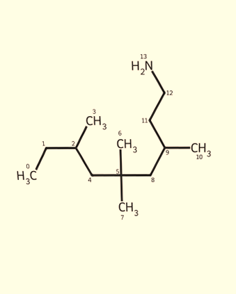 CCC(C)CC(C)(C)CC(C)CCN